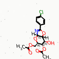 CC(=O)OC[C@H]1O[C@@H]2N=C(c3ccc(Cl)cc3)O[C@@H]2[C@@H](O)[C@@H]1OC(C)=O